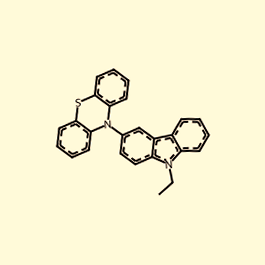 CCn1c2ccccc2c2cc(N3c4ccccc4Sc4ccccc43)ccc21